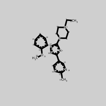 CCN1CCN(c2nc(-c3cnc(C)nc3)ns2)CC1.COc1ccccc1